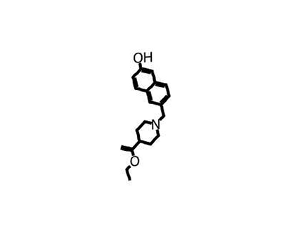 C=C(OCC)C1CCN(Cc2ccc3cc(O)ccc3c2)CC1